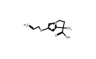 C=CCSc1cc2n(c1)CCC2(C)C(=O)O